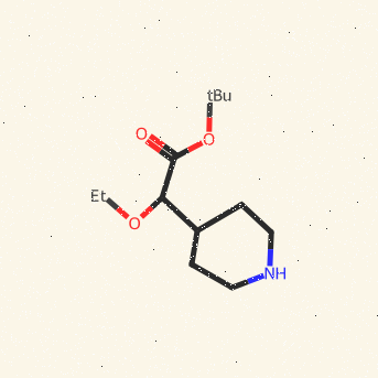 CCOC(C(=O)OC(C)(C)C)C1CCNCC1